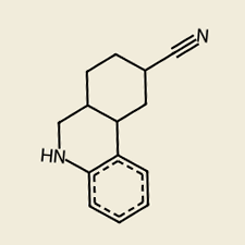 N#CC1CCC2CNc3ccccc3C2C1